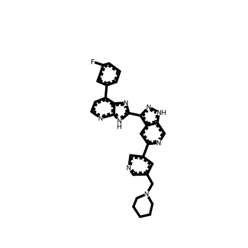 Fc1cccc(-c2ccnc3[nH]c(-c4n[nH]c5cnc(-c6cncc(CN7CCCCC7)c6)cc45)nc23)c1